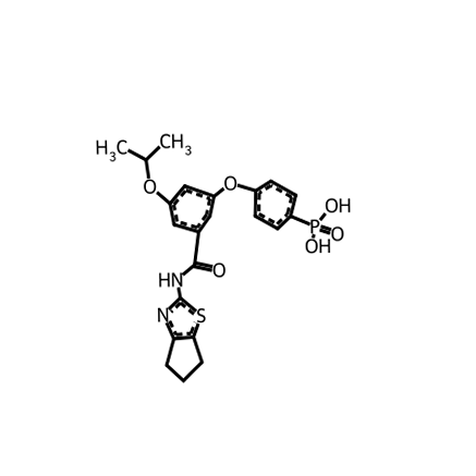 CC(C)Oc1cc(Oc2ccc(P(=O)(O)O)cc2)cc(C(=O)Nc2nc3c(s2)CCC3)c1